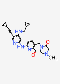 CN1CCN(Cc2ccc(Nc3cc(NCC4CC4)c(C#CC4CC4)cn3)nc2C=O)C(=O)C1